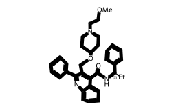 CC[C@H](NC(=O)c1c(COC2CCN(CCOC)CC2)c(-c2ccccc2)nc2ccccc12)c1ccccc1